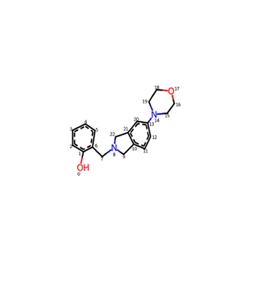 Oc1ccccc1CN1Cc2ccc(N3CCOCC3)cc2C1